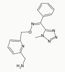 Cn1nnnc1C(=NOCc1cccc(CN)n1)c1ccccc1